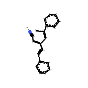 CC(=CC(C=Cc1ccccc1)=CC#N)c1ccccc1